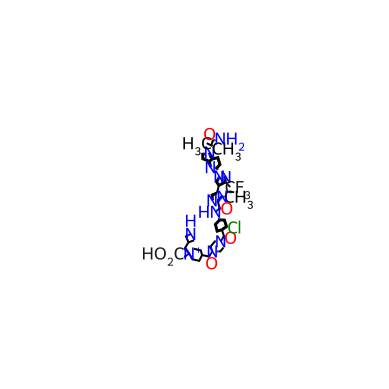 Cn1c(-c2cn(-c3ccc4c(ccn4C(C)(C)C(N)=O)n3)nc2C(F)(F)F)cnc1C(=O)Nc1ccc(C(=O)N2CCN(C(=O)C3CC[N+](CC(=O)O)(CC4CNC4)CC3)CC2)c(Cl)c1